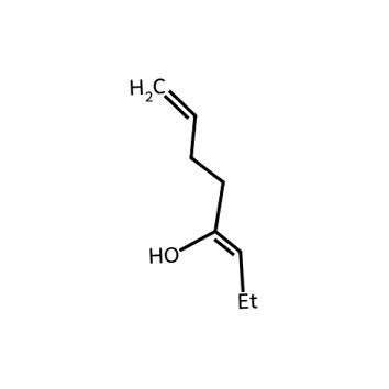 C=CCC/C(O)=C/CC